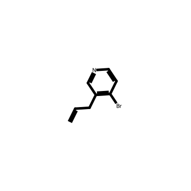 C=CCc1cnccc1Br